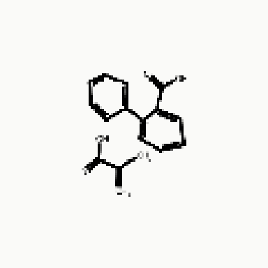 C=C(C)C(=O)O.O=C(O)c1ccccc1-c1ccccc1